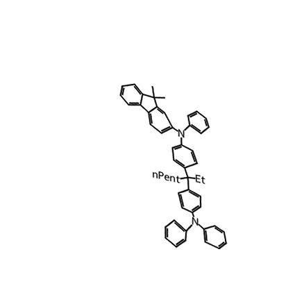 CCCCCC(CC)(c1ccc(N(c2ccccc2)c2ccccc2)cc1)c1ccc(N(c2ccccc2)c2ccc3c(c2)C(C)(C)c2ccccc2-3)cc1